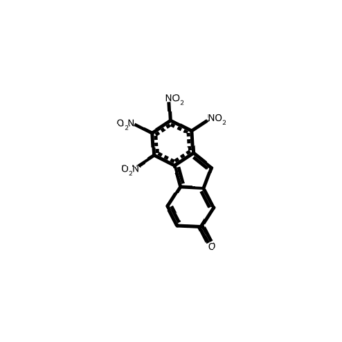 O=C1C=CC2=c3c([N+](=O)[O-])c([N+](=O)[O-])c([N+](=O)[O-])c([N+](=O)[O-])c3=CC2=C1